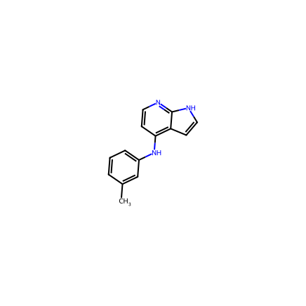 Cc1cccc(Nc2ccnc3[nH]ccc23)c1